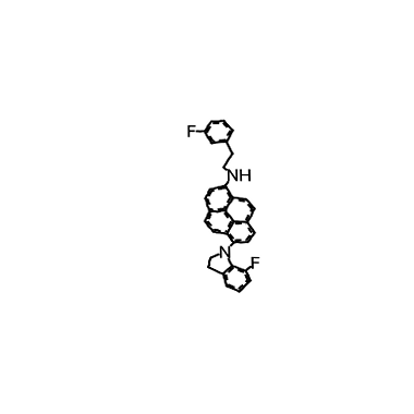 Fc1cccc(CCNc2ccc3ccc4c(N5CCc6cccc(F)c65)ccc5ccc2c3c54)c1